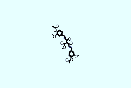 COC(=O)C(C(=O)/C=C/c1ccc(OC(C)=O)c(OC)c1)C(=O)/C=C/c1ccc(OC(C)=O)c(OC)c1